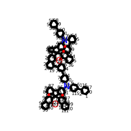 c1ccc(-c2ccc(N(c3ccc(-c4cccc(-c5cccc6ccc7c(c56)Oc5c(ccc6ccccc56)C75c6ccccc6-c6cc(N(c7ccc(-c8ccccc8)cc7)c7ccccc7-c7ccccc7)ccc65)c4)cc3)c3ccc4c(c3)-c3ccccc3C43c4ccc5ccccc5c4Oc4c3ccc3ccccc43)cc2)cc1